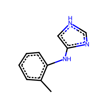 Cc1ccccc1Nc1c[nH]cn1